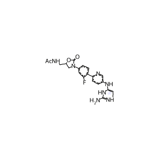 C/C=C(\NC(=N)N)Nc1ccc(-c2ccc(N3CC(CNC(C)=O)OC3=O)cc2F)nc1